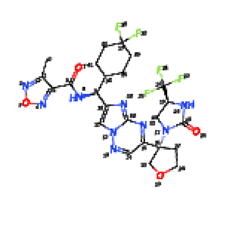 Cc1nonc1C(=O)N[C@H](c1cn2ncc([C@@]3(N4C[C@@H](C(F)(F)F)NC4=O)CCOC3)nc2n1)C1CCC(F)(F)CC1